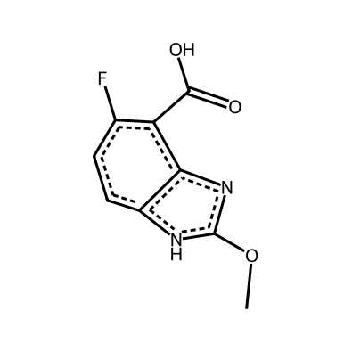 COc1nc2c(C(=O)O)c(F)ccc2[nH]1